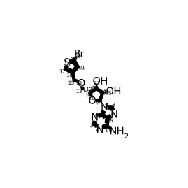 Nc1ncnc2c1ncn2[C@@H]1O[C@H](COCc2csc(Br)c2)[C@@H](O)[C@H]1O